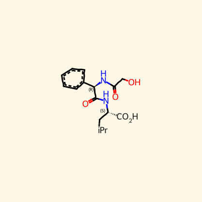 CC(C)C[C@H](NC(=O)[C@H](NC(=O)CO)c1ccccc1)C(=O)O